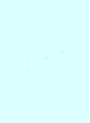 CCC(NO)C(=O)NC(CC(C)C)C(=O)O